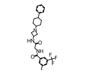 Cc1cc(C(=O)NCC(=O)NC2CN(C3CCC(c4ccccc4)CC3)C2)cc(C(F)(F)F)c1